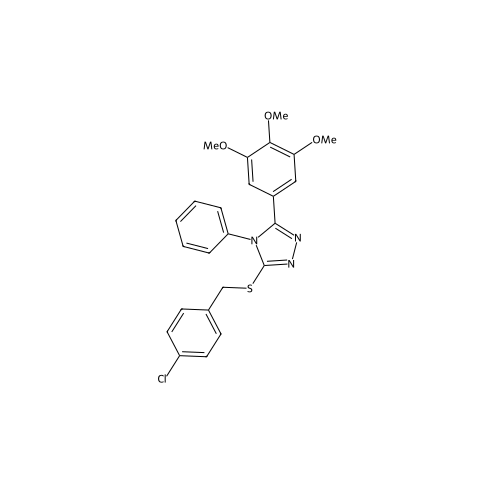 COc1cc(-c2nnc(SCc3ccc(Cl)cc3)n2-c2ccccc2)cc(OC)c1OC